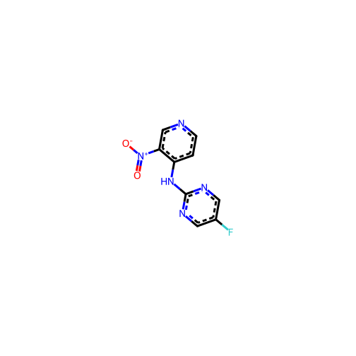 O=[N+]([O-])c1cnccc1Nc1ncc(F)cn1